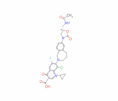 CC(=O)NC[C@H]1CN(c2ccc3c(c2)CCCN(c2c(F)cc4c(=O)c(C(=O)O)cn(C5CC5)c4c2Cl)C3)C(=O)O1